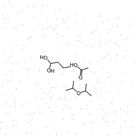 CC(=O)O.CC(C)OC(C)C.CCCC(O)O